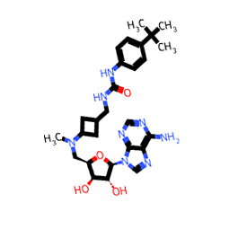 CN(C[C@H]1O[C@@H](n2cnc3c(N)ncnc32)[C@H](O)[C@H]1O)C1CC(CNC(=O)Nc2ccc(C(C)(C)C)cc2)C1